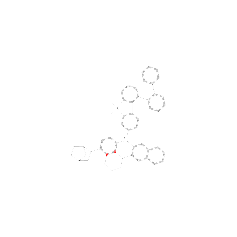 CC1(C)c2cc(N(c3ccc(C4CC5CCC4C5)cc3)c3cc4ccccc4cc3C3CCCCC3)ccc2-c2c(-c3ccccc3-c3ccccc3)cccc21